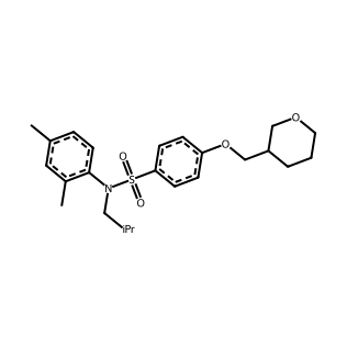 Cc1ccc(N(CC(C)C)S(=O)(=O)c2ccc(OCC3CCCOC3)cc2)c(C)c1